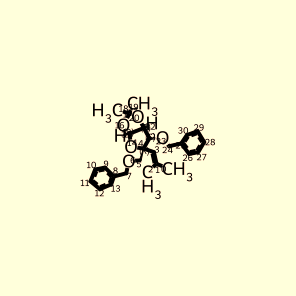 CC(C)=C[C@]1(COCc2ccccc2)O[C@@H]2OC(C)(C)O[C@@H]2[C@@H]1OCc1ccccc1